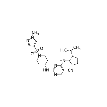 CN(C)C1CCCC1Nc1nc(NC2CCN(S(=O)(=O)c3cnn(C)c3)CC2)ncc1C#N